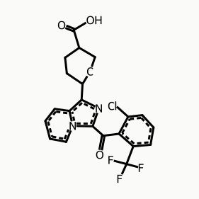 O=C(c1c(Cl)cccc1C(F)(F)F)c1nc(C2CCC(C(=O)O)CC2)c2ccccn12